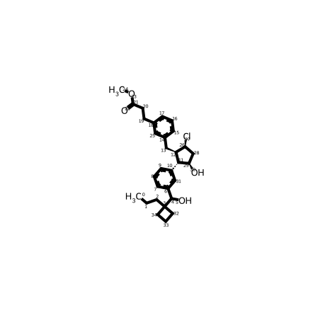 CCCC1(C(O)c2cccc([C@@H]3[C@@H](Cc4cccc(CCC(=O)OC)c4)[C@@H](Cl)C[C@H]3O)c2)CCC1